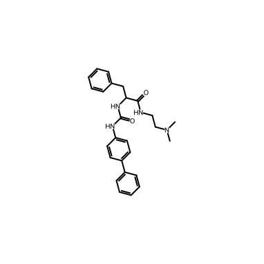 CN(C)CCNC(=O)C(Cc1ccccc1)NC(=O)Nc1ccc(-c2ccccc2)cc1